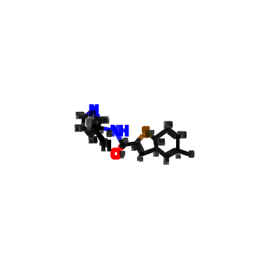 CC1=CC2C=C(C(=O)N[C@H]3CN4CCC3CC4)SC2C=C1